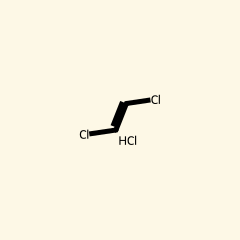 Cl.ClC=CCl